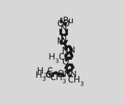 Cc1c(Oc2ccc3nc(C)n(COCC[Si](C)(C)C)c3c2)ccc2ncc(-c3cnn(C4CCN(C(=O)OC(C)(C)C)CC4)c3)nc12